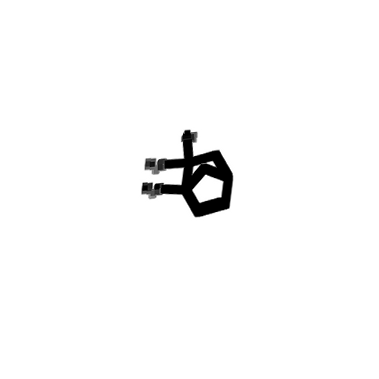 CC(=O)C1(C)CC2C=CC1(C)C2